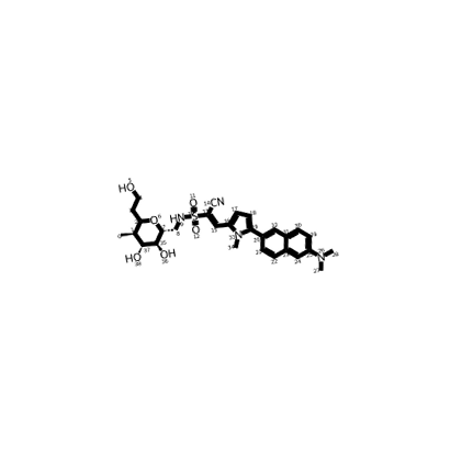 C[C@H]1C(CCO)O[C@H](CNS(=O)(=O)/C(C#N)=C/c2ccc(-c3ccc4cc(N(C)C)ccc4c3)n2C)[C@@H](O)[C@@H]1O